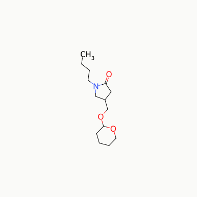 CCCCN1CC(COC2CCCCO2)CC1=O